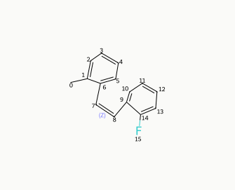 Cc1ccccc1/C=C\c1ccccc1F